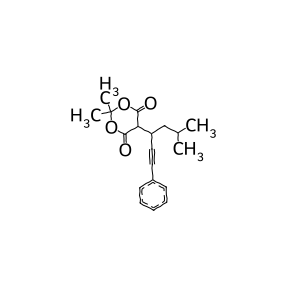 CC(C)CC(C#Cc1ccccc1)C1C(=O)OC(C)(C)OC1=O